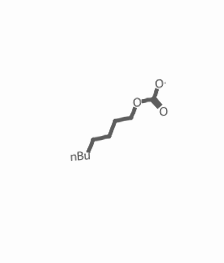 CCCCCCCCOC([O])=O